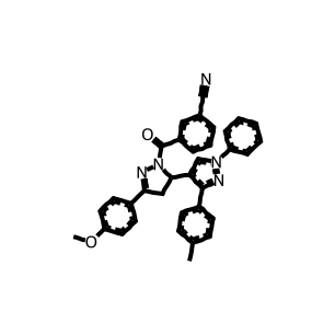 COc1ccc(C2=NN(C(=O)c3cccc(C#N)c3)C(c3cn(-c4ccccc4)nc3-c3ccc(C)cc3)C2)cc1